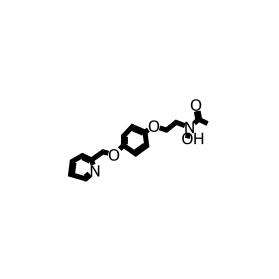 CC(=O)N(O)CCOc1ccc(OCc2ccccn2)cc1